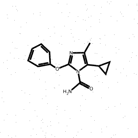 Cc1nc(Oc2ccccc2)n(C(N)=O)c1C1CC1